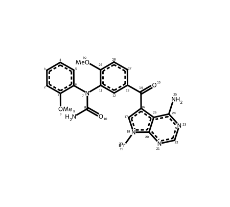 COc1ccccc1N(C(N)=O)c1cc(C(=O)c2cn(C(C)C)c3ncnc(N)c23)ccc1OC